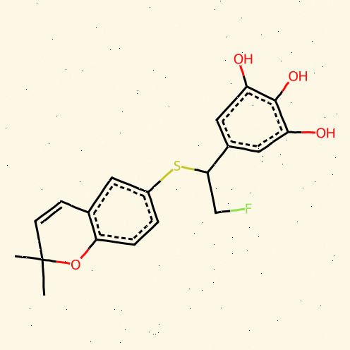 CC1(C)C=Cc2cc(SC(CF)c3cc(O)c(O)c(O)c3)ccc2O1